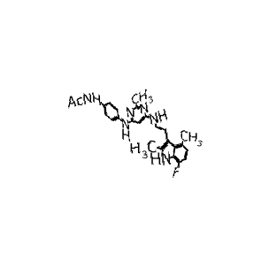 CC(=O)Nc1ccc(Nc2cc(NCCc3c(C)[nH]c4c(F)ccc(C)c34)nc(C)n2)cc1